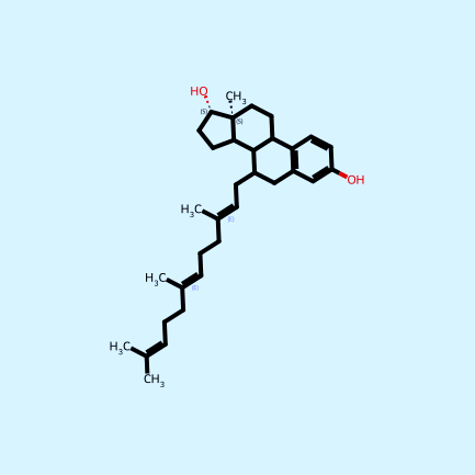 CC(C)=CCC/C(C)=C/CC/C(C)=C/CC1Cc2cc(O)ccc2C2CC[C@@]3(C)C(CC[C@@H]3O)C12